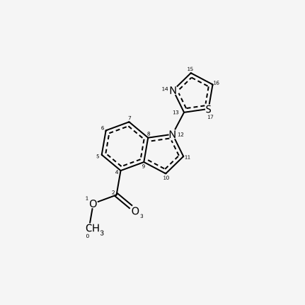 COC(=O)c1cccc2c1ccn2-c1nccs1